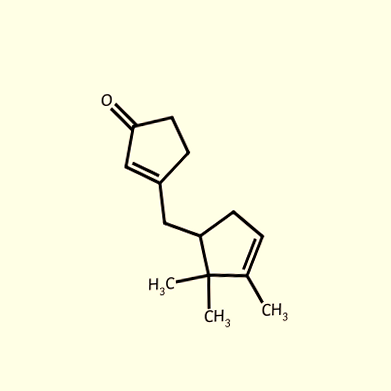 CC1=CCC(CC2=CC(=O)CC2)C1(C)C